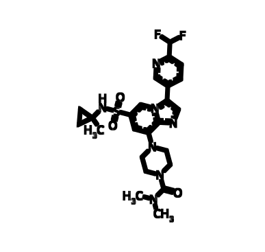 CN(C)C(=O)N1CCN(c2cc(S(=O)(=O)NC3(C)CC3)cn3c(-c4ccc(C(F)F)nc4)cnc23)CC1